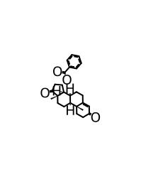 C[C@]12CCC(=O)C=C1CC[C@H]1[C@@H]3[C@@H](OC(=O)c4ccccc4)CC(=O)[C@@]3(C)CC[C@@H]12